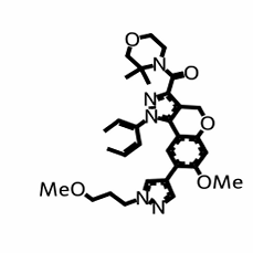 C/C=C\C(=C/C)n1nc(C(=O)N2CCOCC2(C)C)c2c1-c1cc(-c3cnn(CCCOC)c3)c(OC)cc1OC2